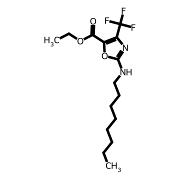 CCCCCCCCNc1nc(C(F)(F)F)c(C(=O)OCC)o1